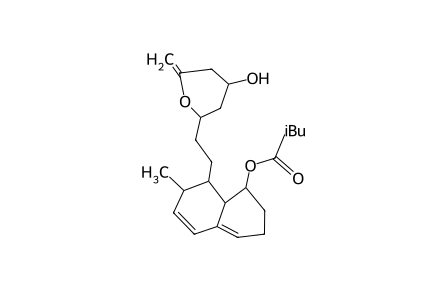 C=C1CC(O)CC(CCC2C(C)C=CC3=CCCC(OC(=O)C(C)CC)C32)O1